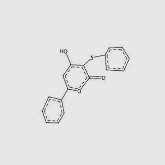 O=c1oc(-c2ccccc2)cc(O)c1Sc1ccccc1